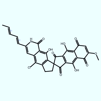 C/C=C/C=C/c1cc2c(Cl)c3c(c(O)c2c(=O)[nH]1)C1(CC3)C(=O)c2c(O)c3c(c(O)c2C1=O)C(=O)C(OC)=CC3=O